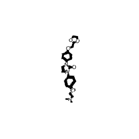 CN(C)CCOc1ccc(-n2ccn(-c3ccc(OCC4OCCO4)cc3)c2=O)cc1